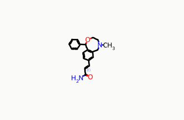 CN1CCOC(c2ccccc2)c2ccc(/C=C/C(N)=O)cc2C1